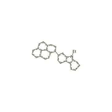 CCn1c2ccccc2c2ccc(-c3ccc4ccc5cccc6ccc3c4c56)cc21